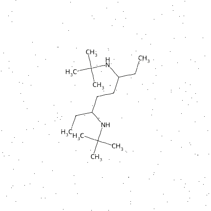 CCC(CCC(CC)NC(C)(C)C)NC(C)(C)C